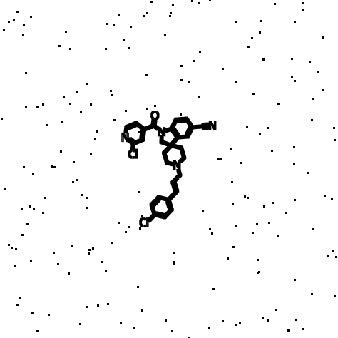 N#Cc1ccc2c(c1)C1(CCN(C/C=C/c3ccc(Cl)cc3)CC1)CN2C(=O)c1ccnc(Cl)c1